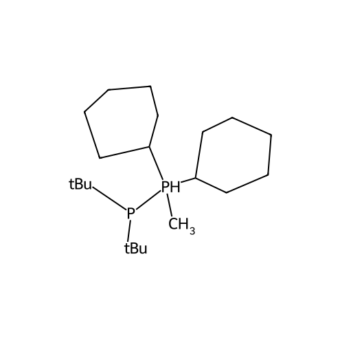 CC(C)(C)P(C(C)(C)C)[PH](C)(C1CCCCC1)C1CCCCC1